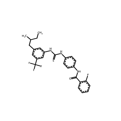 CCC(C)Cc1cc(NC(=S)Nc2ccc(NC(=O)c3ccccc3F)cc2)cc(C(F)(F)F)c1